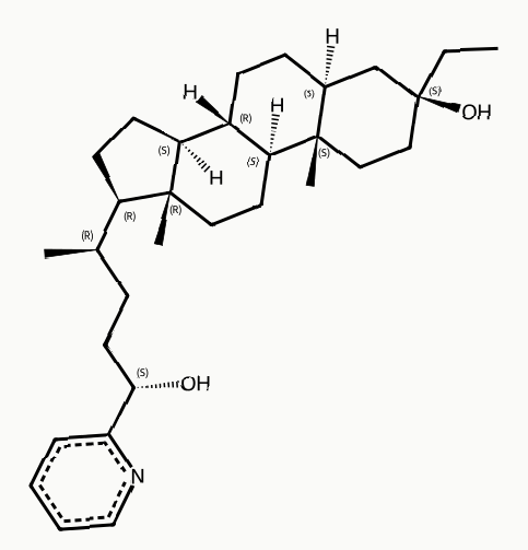 CC[C@]1(O)CC[C@@]2(C)[C@@H](CC[C@@H]3[C@@H]2CC[C@]2(C)[C@@H]([C@H](C)CC[C@H](O)c4ccccn4)CC[C@@H]32)C1